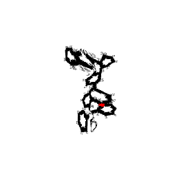 O=P(c1ccccc1)(c1ccccc1)c1cccc2c(-c3ccc4c(c3)c3ccccc3c3nc5ccccc5n43)cccc12